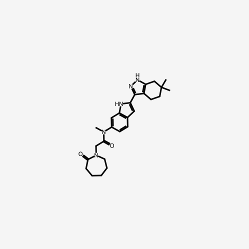 CN(C(=O)CN1CCCCCC1=O)c1ccc2cc(-c3n[nH]c4c3CCC(C)(C)C4)[nH]c2c1